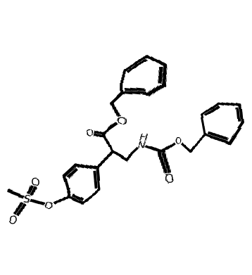 CS(=O)(=O)Oc1ccc(C(CNC(=O)OCc2ccccc2)C(=O)OCc2ccccc2)cc1